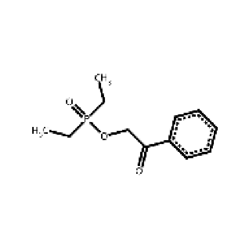 CCP(=O)(CC)OCC(=O)c1ccccc1